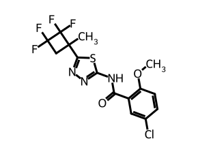 COc1ccc(Cl)cc1C(=O)Nc1nnc(C2(C)CC(F)(F)C2(F)F)s1